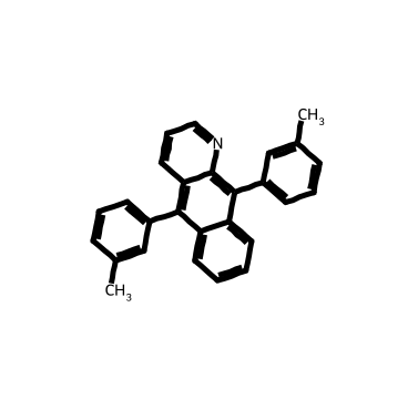 Cc1cccc(-c2c3ccccc3c(-c3cccc(C)c3)c3ncccc23)c1